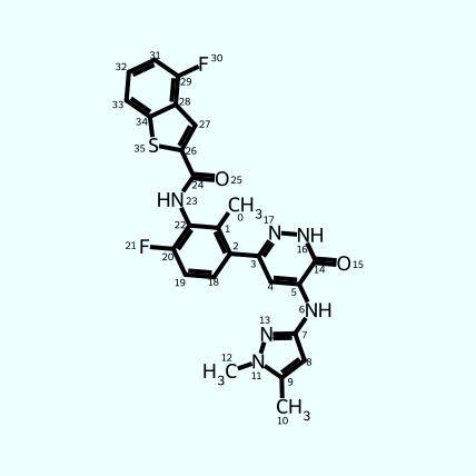 Cc1c(-c2cc(Nc3cc(C)n(C)n3)c(=O)[nH]n2)ccc(F)c1NC(=O)c1cc2c(F)cccc2s1